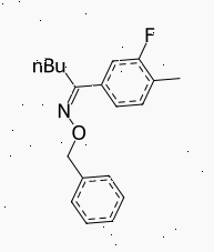 CCCCC(=NOCc1ccccc1)c1ccc(C)c(F)c1